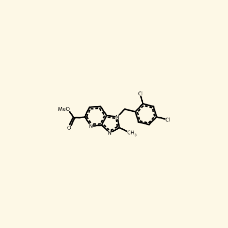 COC(=O)c1ccc2c(n1)nc(C)n2Cc1ccc(Cl)cc1Cl